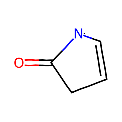 O=C1CC=C[N]1